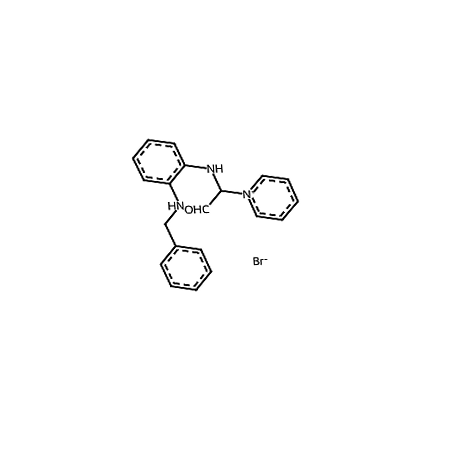 O=CC(Nc1ccccc1NCc1ccccc1)[n+]1ccccc1.[Br-]